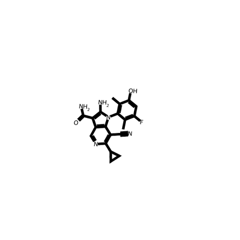 Cc1c(O)cc(F)c(C)c1-n1c(N)c(C(N)=O)c2cnc(C3CC3)c(C#N)c21